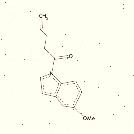 C=CCCC(=O)n1ccc2cc(OC)ccc21